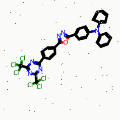 ClC(Cl)(Cl)c1nc(-c2ccc(-c3nnc(-c4ccc(N(c5ccccc5)c5ccccc5)cc4)o3)cc2)nc(C(Cl)(Cl)Cl)n1